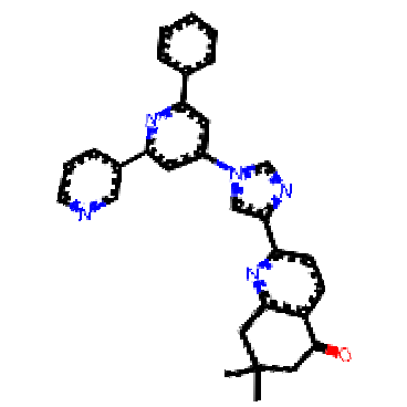 CC1(C)CC(=O)c2ccc(-c3cn(-c4cc(-c5ccccc5)nc(-c5cccnc5)c4)cn3)nc2C1